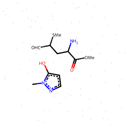 COC(=O)C(N)CC(C=O)SC.Cn1nccc1O